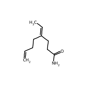 C=CCC/C(=C\C)CCC(N)=O